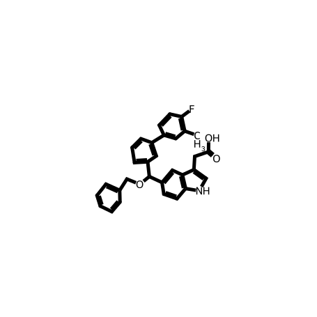 Cc1cc(-c2cccc(C(OCc3ccccc3)c3ccc4[nH]cc(CC(=O)O)c4c3)c2)ccc1F